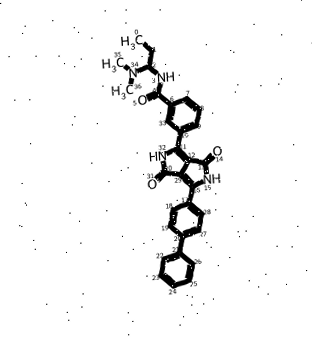 CCC(NC(=O)c1cccc(C2=C3C(=O)NC(c4ccc(-c5ccccc5)cc4)=C3C(=O)N2)c1)N(C)C